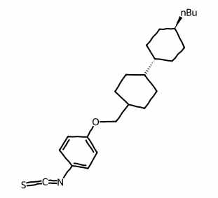 CCCC[C@H]1CC[C@H](C2CCC(COc3ccc(N=C=S)cc3)CC2)CC1